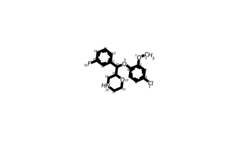 COc1cc(Cl)ccc1OC(c1cccc(F)c1)C1CNCCO1